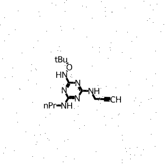 C#CCNc1nc(NCCC)nc(NOC(C)(C)C)n1